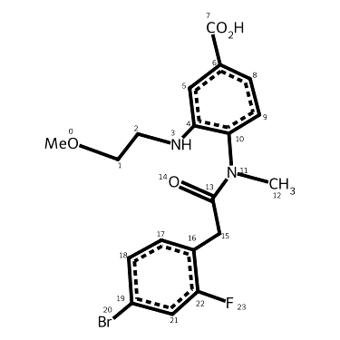 COCCNc1cc(C(=O)O)ccc1N(C)C(=O)Cc1ccc(Br)cc1F